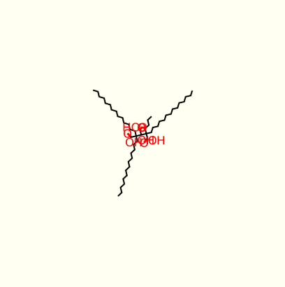 CCCCCCCCCCCCCCC(CCCCCCCCCCCCCC)(C(=O)O)C(O)(C(=O)O)C(CCCCCCCCCCCCCC)(C(=O)O)C(=O)CCC